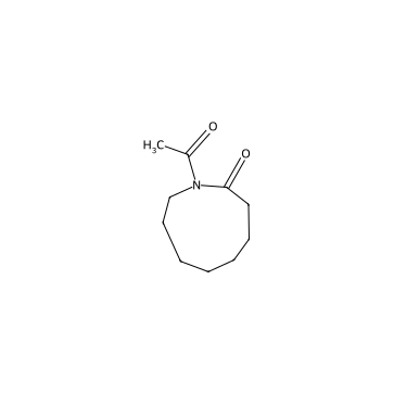 CC(=O)N1CCCCCCCC1=O